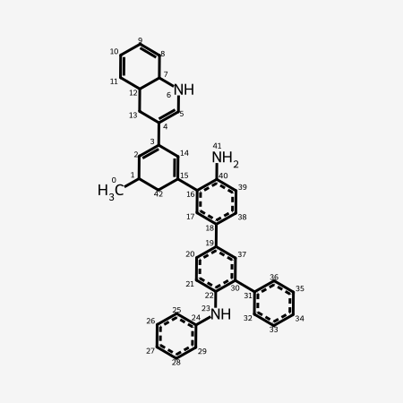 CC1C=C(C2=CNC3C=CC=CC3C2)C=C(c2cc(-c3ccc(Nc4ccccc4)c(-c4ccccc4)c3)ccc2N)C1